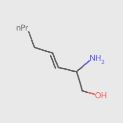 CCCC/C=C/C(N)CO